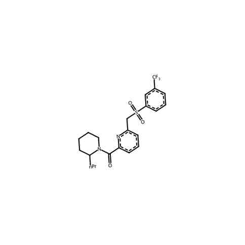 CCCC1CCCCN1C(=O)c1cccc(CS(=O)(=O)c2cccc(C(F)(F)F)c2)n1